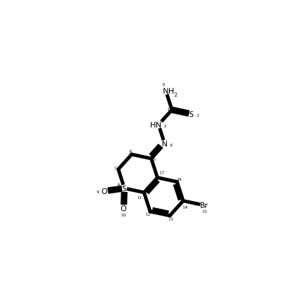 NC(=S)NN=C1CCS(=O)(=O)c2ccc(Br)cc21